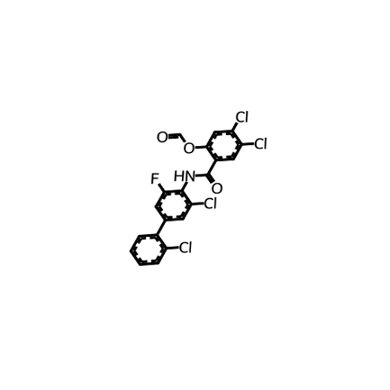 O=COc1cc(Cl)c(Cl)cc1C(=O)Nc1c(F)cc(-c2ccccc2Cl)cc1Cl